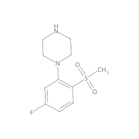 CS(=O)(=O)c1ccc(F)cc1N1CCNCC1